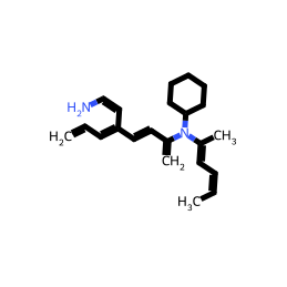 C=C/C=C(\C=C/N)/C=C/C(=C)N(/C(C)=C/C=C\C)C1CCCCC1